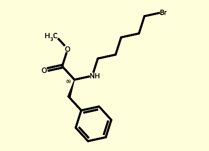 COC(=O)[C@H](Cc1ccccc1)NCCCCCBr